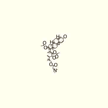 C=C(C(=O)[C@H](OC(C)=O)[C@@H](C)[C@H]1[C@@H](OC(C)=O)C[C@@]2(C)[C@@H]3CC[C@H]4[C@H](C)C(=O)C=C[C@@]45C[C@@]35CC[C@]12C)[C@@H](C)COC(=O)CN(C)C